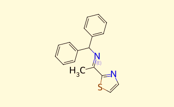 C/C(=N\C(c1ccccc1)c1ccccc1)c1nccs1